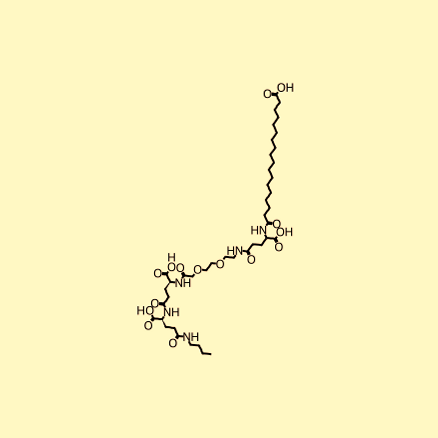 CCCCNC(=O)CC[C@H](NC(=O)CC[C@H](NC(=O)COCCOCCNC(=O)CCC(NC(=O)CCCCCCCCCCCCCCCCC(=O)O)C(=O)O)C(=O)O)C(=O)O